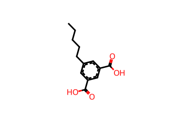 CCCCCc1cc(C(=O)O)cc(C(=O)O)c1